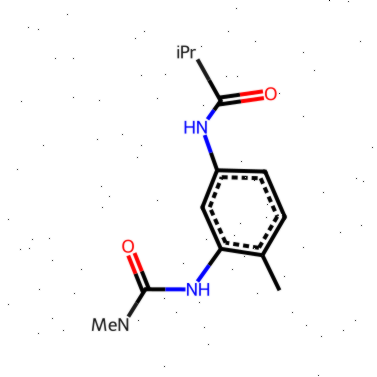 CNC(=O)Nc1cc(NC(=O)C(C)C)ccc1C